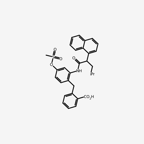 CC(C)CC(C(=O)Nc1cc(OS(C)(=O)=O)ccc1Cc1ccccc1C(=O)O)c1cccc2ccccc12